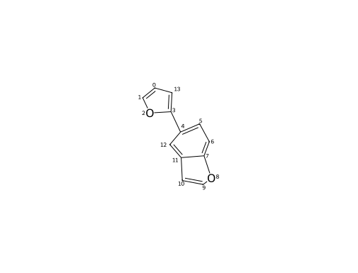 c1coc(-c2ccc3occc3c2)c1